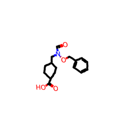 O=CN(CC1CCC(C(=O)O)CC1)OCc1ccccc1